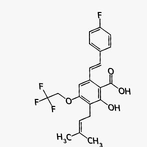 CC(C)=CCc1c(OCC(F)(F)F)cc(/C=C/c2ccc(F)cc2)c(C(=O)O)c1O